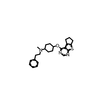 CN(CCc1ccccc1)C1CCC(Oc2ncnc3sc4c(c23)CCC4)CC1